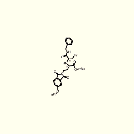 CCCOc1ccc2c(c1)C(=O)N(CC[C@@H](N[C@@H](CC(C)C)C(=O)NCc1ccccc1)C(=O)OC(C)(C)C)C2=O